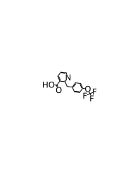 O=C(O)c1cccnc1Cc1ccc(OC(F)(F)F)cc1